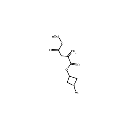 C=C(CC(=O)OCCCCCCCC)C(=O)OC1CN(C(C)=O)C1